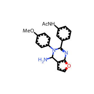 COc1ccc(N2C(c3cccc(NC(C)=O)c3)=Nc3occc3C2N)cc1